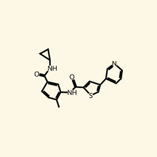 Cc1ccc(C(=O)NC2CC2)cc1NC(=O)c1cc(-c2cccnc2)cs1